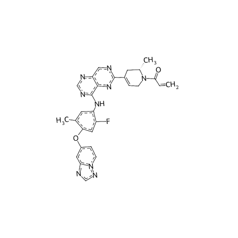 C=CC(=O)N1CC=C(c2ncc3ncnc(Nc4cc(C)c(Oc5ccn6ncnc6c5)cc4F)c3n2)C[C@@H]1C